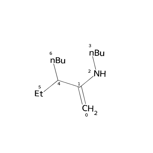 C=C(NCCCC)C(CC)CCCC